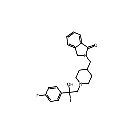 O=C1c2ccccc2CN1CC1CCN(CC(O)(I)c2ccc(F)cc2)CC1